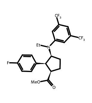 CCN(c1cc(C(F)(F)F)cc(C(F)(F)F)c1)[C@H]1CC[C@@H](C(=O)OC)[C@H]1c1ccc(F)cc1